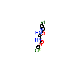 O=C(COc1ccc(Cl)c(F)c1)NCC1CCC(NC(=O)c2ccc3cc(Cl)ccc3n2)C1